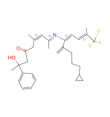 C=C(CCCC1CC1)C(=C\C=C(/C)C(F)(F)F)/N=C(C)/C=C(/C)CC(=O)CC(C)(O)c1ccccc1